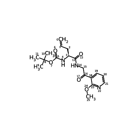 C=CC[C@H](NC(=O)OC(C)(C)C)C(=O)NCC(=O)c1cccnc1OC